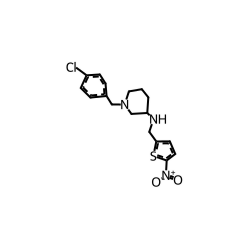 O=[N+]([O-])c1ccc(CNC2CCCN(Cc3ccc(Cl)cc3)C2)s1